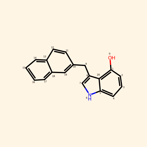 Oc1cccc2[nH]cc(Cc3ccc4ccccc4c3)c12